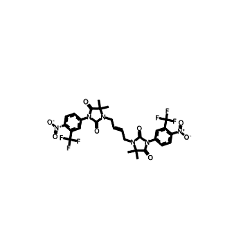 CC1(C)C(=O)N(c2ccc([N+](=O)[O-])c(C(F)(F)F)c2)C(=O)N1CC=CCN1C(=O)N(c2ccc([N+](=O)[O-])c(C(F)(F)F)c2)C(=O)C1(C)C